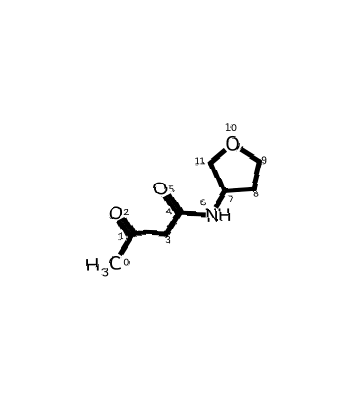 CC(=O)CC(=O)NC1CCOC1